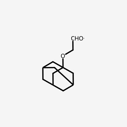 O=[C]COC12CC3CC(CC(C3)C1)C2